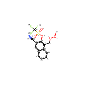 COOCc1c(OS(=O)(=O)C(F)(F)F)c(C#N)cc2ccccc12